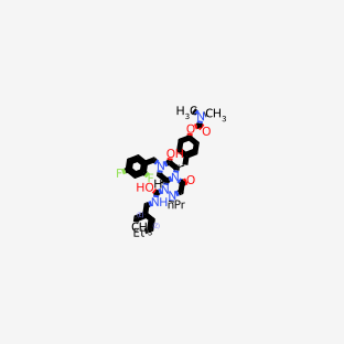 C/C=C(\C=C/CC)CNC(O)N1[C@H]2CN(Cc3ccc(F)cc3F)C(O)[C@H](CC3=CCC(OC(=O)N(C)C)CC3)N2C(=O)CN1CCC